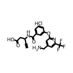 C#CC(CC(=O)O)NC(=O)c1cccc(Oc2cc(CN)cc(C(F)(F)F)n2)c1.Cl